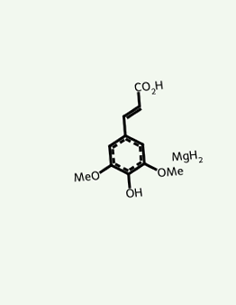 COc1cc(C=CC(=O)O)cc(OC)c1O.[MgH2]